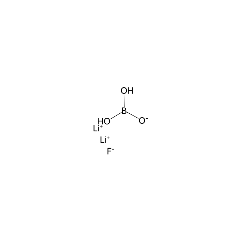 [F-].[Li+].[Li+].[O-]B(O)O